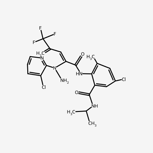 C=C(/C=C(/C(=O)Nc1c(C)cc(Cl)cc1C(=O)NC(C)C)N(N)c1ncccc1Cl)C(F)(F)F